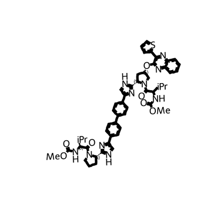 COC(=O)NC(C(=O)N1C[C@@H](Oc2nc3ccccc3nc2-c2cccs2)C[C@H]1c1nc(-c2ccc(-c3ccc(-c4c[nH]c([C@@H]5CCCN5C(=O)[C@@H](NC(=O)OC)C(C)C)n4)cc3)cc2)c[nH]1)C(C)C